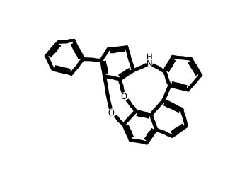 c1ccc(-c2ccc3c4c2Oc2ccc5cccc(c5c2O4)-c2ccccc2N3)cc1